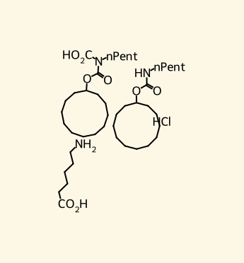 CCCCCN(C(=O)O)C(=O)OC1CCCCCCCCCCC1.CCCCCNC(=O)OC1CCCCCCCCCCC1.Cl.NCCCCCC(=O)O